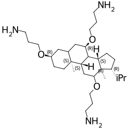 CC(C)[C@H]1CC[C@H]2C3[C@H](OCCCN)CC4C[C@H](OCCCN)CC[C@]4(C)[C@H]3CC(OCCCN)[C@]12C